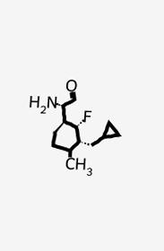 CC1CC[C@@H]([C@H](N)C=O)[C@H](F)[C@@H]1CC1CC1